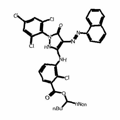 CCCCCCCCCC(CCCC)OC(=O)c1cccc(Nc2[nH]n(-c3c(Cl)cc(Cl)cc3Cl)c(=O)c2N=Nc2cccc3ccccc23)c1Cl